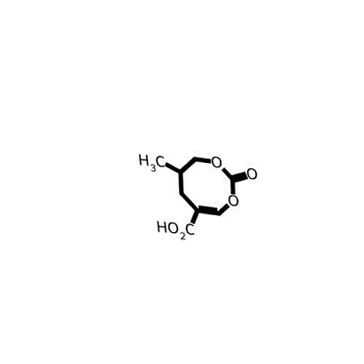 CC1COC(=O)O/C=C(/C(=O)O)C1